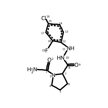 NC(=O)N1CCCC1C(=O)NNc1ccc(Cl)cc1F